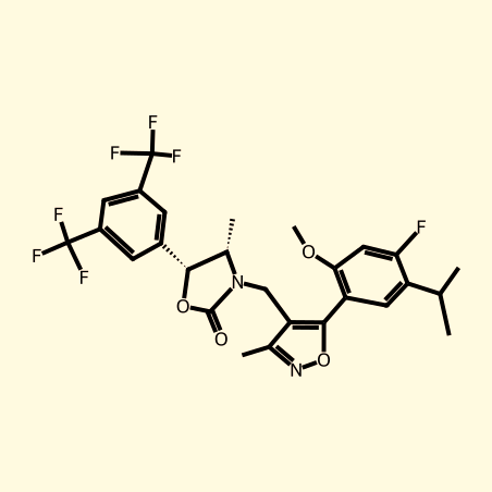 COc1cc(F)c(C(C)C)cc1-c1onc(C)c1CN1C(=O)O[C@H](c2cc(C(F)(F)F)cc(C(F)(F)F)c2)[C@@H]1C